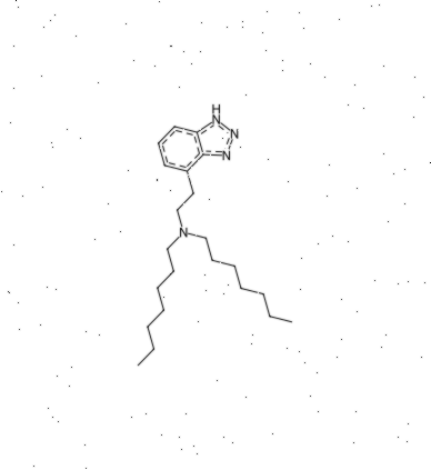 CCCCCCCN(CCCCCCC)CCc1cccc2[nH]nnc12